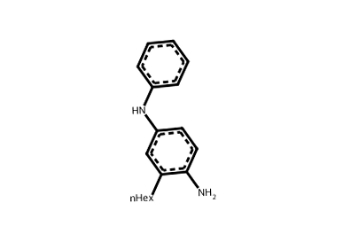 CCCCCCc1cc(Nc2ccccc2)ccc1N